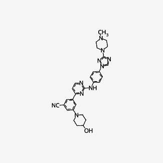 CN1CCN(c2ncn(-c3ccc(Nc4nccc(-c5cc(C#N)cc(N6CCC(O)CC6)c5)n4)cc3)n2)CC1